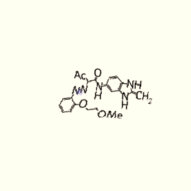 C=C1Nc2ccc(NC(=O)C(/N=N/c3ccccc3OCCOC)C(C)=O)cc2N1